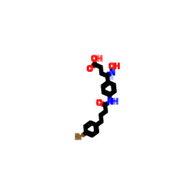 O=C(O)CC/C(=N\O)c1ccc(NC(=O)CCCc2ccc(Br)cc2)cc1